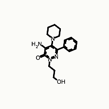 Nc1c(N2CCCCC2)c(-c2ccccc2)nn(CCCO)c1=O